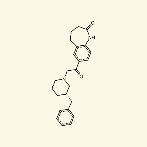 O=C1CCCc2cc(C(=O)CN3CCC[C@@H](Cc4ccccc4)C3)ccc2N1